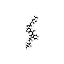 CC(C)c1cn(CC(=O)Nc2cncc(C(=O)c3cn(C(C)(C)CO[Si](C)(C)C(C)(C)C)c4ccncc34)c2)nn1